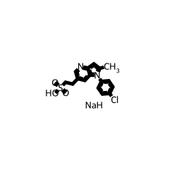 Cc1cc2ncc(CCS(=O)(=O)O)cc2n1-c1ccc(Cl)cc1.[NaH]